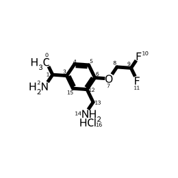 CC(N)c1ccc(OCC(F)F)c(CN)c1.Cl